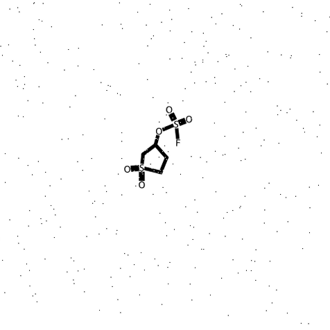 O=S1(=O)CCC(OS(=O)(=O)F)C1